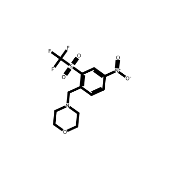 O=[N+]([O-])c1ccc(CN2CCOCC2)c(S(=O)(=O)C(F)(F)F)c1